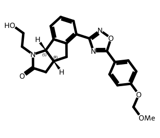 COCOc1ccc(-c2nc(-c3cccc4c3C[C@@H]3CC(=O)N(CCO)[C@H]43)no2)cc1